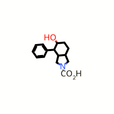 O=C(O)N1CC2CCC(O)C(c3ccccc3)C2C1